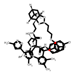 Cc1cc([C@H](C(=O)N2C[C@H](O)C[C@H]2C(=O)NCc2ccc(Cl)cc2OCCCB2O[C@H]3C[C@H]4C[C@H](C4(C)C)[C@@]3(CCNC(=O)C[C@@H]3N=C(c4ccc(Cl)cc4)c4c(sc(C)c4C)-n4c(C)nnc43)O2)C(C)C)on1